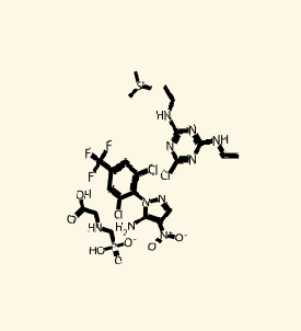 CCNc1nc(Cl)nc(NCC)n1.C[S+](C)C.Nc1c([N+](=O)[O-])cnn1-c1c(Cl)cc(C(F)(F)F)cc1Cl.O=C(O)CNCP(=O)([O-])O